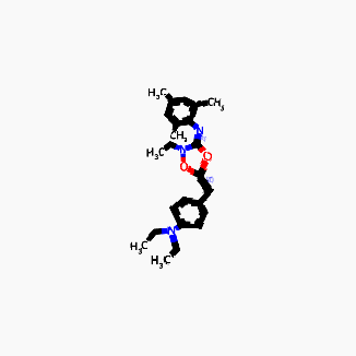 CCN1O/C(=C\c2ccc(N(CC)CC)cc2)O/C1=N/c1c(C)cc(C)cc1C